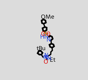 CCn1c(CCCc2ccc(-c3cccc(NS(=O)(=O)c4ccc(-c5ccc(OC)cc5)cc4)n3)cc2)nn(Cc2ccc(C(C)(C)C)cc2)c1=O